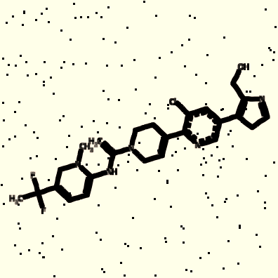 C=C(NC1=CC=C(C(C)(F)F)CN1C)N1CC=C(c2ncc(C3=C(CO)N=CC3)cc2Cl)CC1